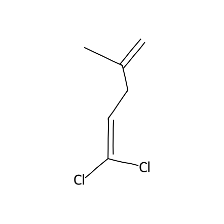 C=C(C)CC=C(Cl)Cl